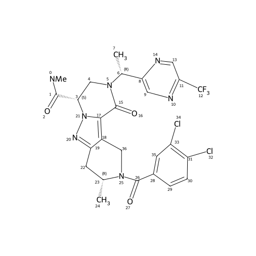 CNC(=O)[C@@H]1CN([C@H](C)c2cnc(C(F)(F)F)cn2)C(=O)c2c3c(nn21)C[C@@H](C)N(C(=O)c1ccc(Cl)c(Cl)c1)C3